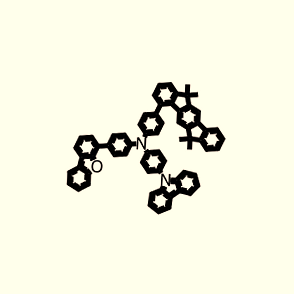 CC1(C)c2ccccc2-c2cc3c(cc21)-c1c(-c2ccc(N(c4ccc(-c5cccc6c5oc5ccccc56)cc4)c4ccc(-n5c6ccccc6c6ccccc65)cc4)cc2)cccc1C3(C)C